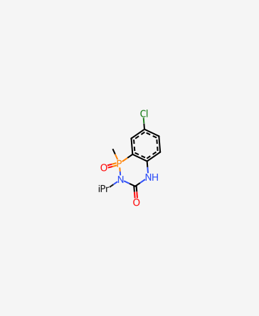 CC(C)N1C(=O)Nc2ccc(Cl)cc2P1(C)=O